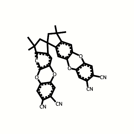 CC1(C)CC2(CC(C)(C)c3cc4c(cc32)Oc2cc(C#N)c(C#N)cc2O4)c2cc3c(cc21)Oc1cc(C#N)c(C#N)cc1O3